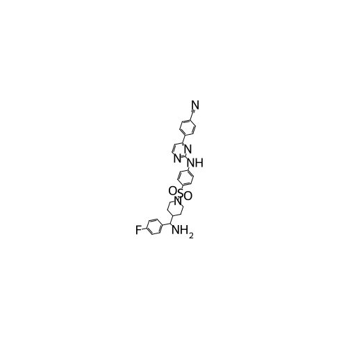 N#Cc1ccc(-c2ccnc(Nc3ccc(S(=O)(=O)N4CCC(C(N)c5ccc(F)cc5)CC4)cc3)n2)cc1